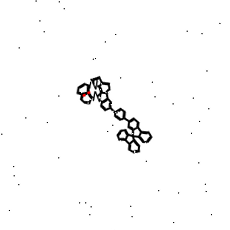 c1ccc(-n2ccc3ccc4c5cc(-c6ccc(-c7ccc8c(c7)C7(c9ccccc9-c9ccccc97)c7ccccc7-8)cc6)ccc5n(-c5ccccc5)c4c32)cc1